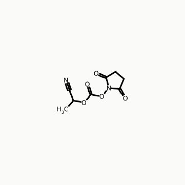 CC(C#N)OC(=O)ON1C(=O)CCC1=O